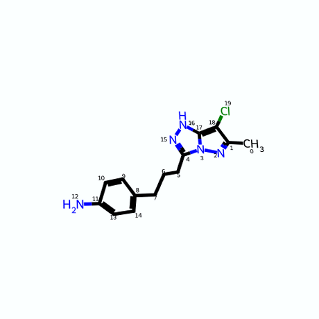 Cc1nn2c(CCCc3ccc(N)cc3)n[nH]c2c1Cl